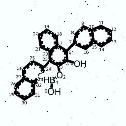 OBOc1c(O)c(-c2ccc3ccccc3c2)c2ccccc2c1-c1ccc2ccccc2c1